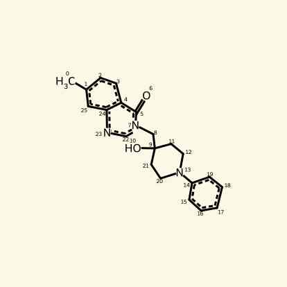 Cc1ccc2c(=O)n(CC3(O)CCN(c4ccccc4)CC3)cnc2c1